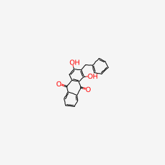 O=C1c2ccccc2C(=O)c2c1cc(O)c(Cc1ccccc1)c2O